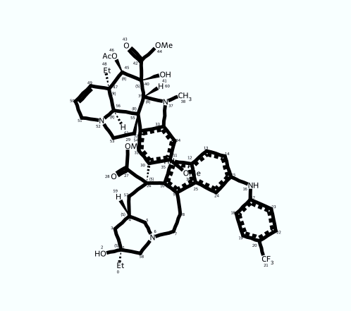 CC[C@]1(O)C[C@H]2CN(CCc3c([nH]c4ccc(Nc5ccc(C(F)(F)F)cc5)cc34)[C@@](C(=O)OC)(c3cc4c(cc3OC)N(C)[C@H]3[C@@](O)(C(=O)OC)[C@H](OC(C)=O)[C@]5(CC)C=CCN6CC[C@]43[C@@H]65)C2)C1